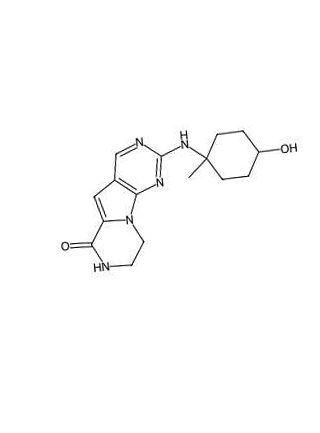 CC1(Nc2ncc3cc4n(c3n2)CCNC4=O)CCC(O)CC1